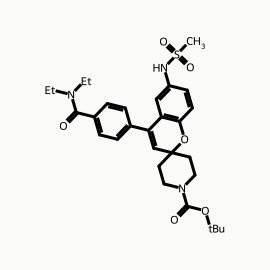 CCN(CC)C(=O)c1ccc(C2=CC3(CCN(C(=O)OC(C)(C)C)CC3)Oc3ccc(NS(C)(=O)=O)cc32)cc1